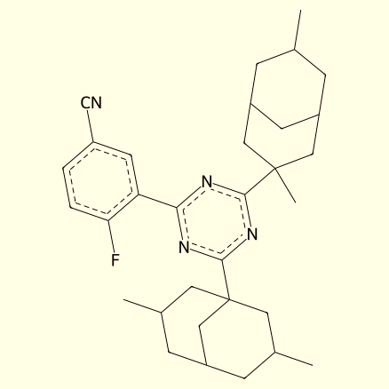 CC1CC2CC(C1)CC(C)(c1nc(-c3cc(C#N)ccc3F)nc(C34CC(C)CC(CC(C)C3)C4)n1)C2